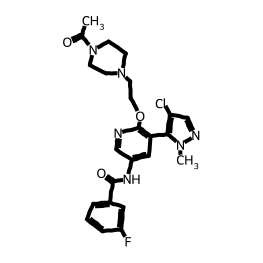 CC(=O)N1CCN(CCOc2ncc(NC(=O)c3cccc(F)c3)cc2-c2c(Cl)cnn2C)CC1